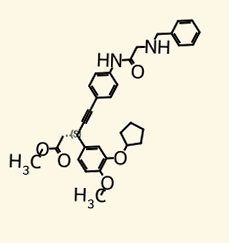 COC(=O)C[C@H](C#Cc1ccc(NC(=O)CNCc2ccccc2)cc1)c1ccc(OC)c(OC2CCCC2)c1